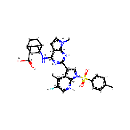 Cc1ccc(S(=O)(=O)n2cc(-c3nc(NC4C5CCC(CC5)C4C(=O)O)c4ccn(C)c4n3)c3c(C)c(F)cnc32)cc1